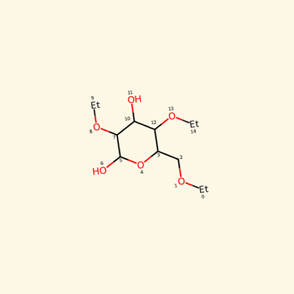 CCOCC1OC(O)C(OCC)C(O)C1OCC